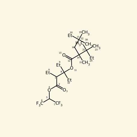 CCC(C(=O)OC(C(F)(F)F)C(F)(F)F)C(CC)(CC)OC(=O)C(C)(CC(C)(C)CC)C(C)(C)CC